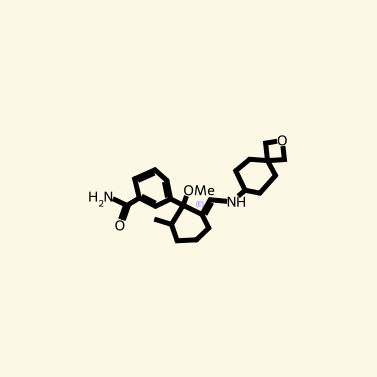 COC1(c2cccc(C(N)=O)c2)/C(=C/NC2CCC3(CC2)COC3)CCCC1C